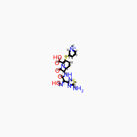 C[n+]1cccc(SC2=C(C(=O)O)N3C(=O)C(NC(=O)/C(=N\O)c4nsc(N)n4)C3CC2)c1